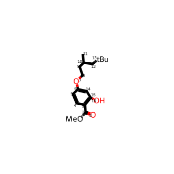 COC(=O)c1ccc(OCCC(C)CC(C)(C)C)cc1O